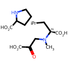 CC(C)C[C@@H](C(=O)O)N(C)CC(=O)C(=O)O.O=C(O)C1CCCN1